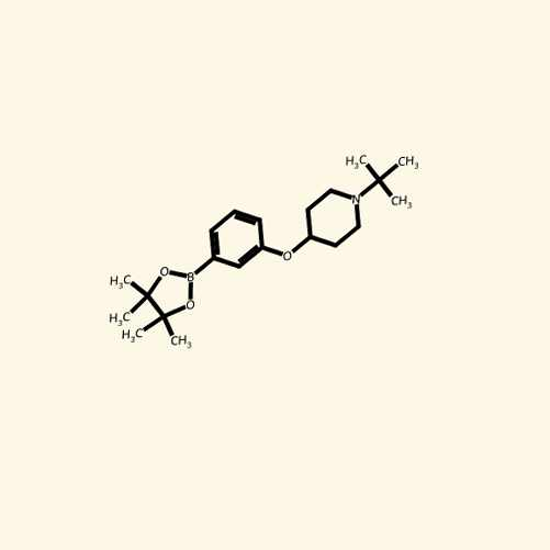 CC(C)(C)N1CCC(Oc2cccc(B3OC(C)(C)C(C)(C)O3)c2)CC1